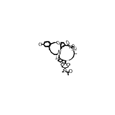 CC(=O)N(C)[C@H]1CO[C@@H]([C@H]2CCC[C@H](C)[C@@H](C)S(=O)(=O)NC(=O)c3ccc4c(c3)N(CCCCc3cc(Cl)ccc3CO4)C[C@@H]3CC[C@H]32)OC1